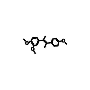 COc1ccc(/C(C)=C(\C)c2ccc(OC)c(OC)c2)cc1